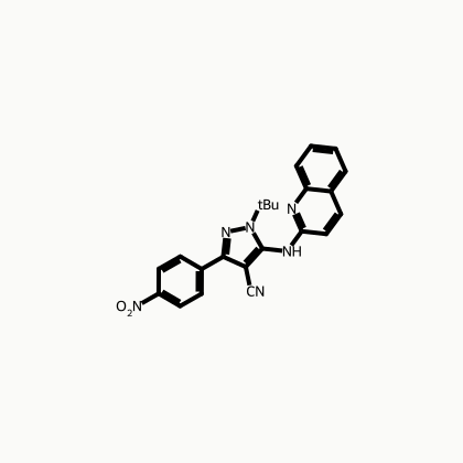 CC(C)(C)n1nc(-c2ccc([N+](=O)[O-])cc2)c(C#N)c1Nc1ccc2ccccc2n1